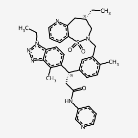 CC[C@H]1Cc2ncccc2S(=O)(=O)N(Cc2cc([C@H](CC(=O)Nc3cccnc3)c3ccc4c(nnn4CC)c3C)ccc2C)C1